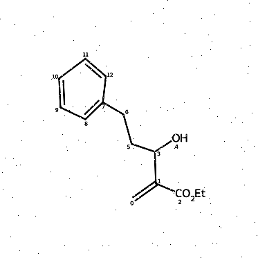 C=C(C(=O)OCC)C(O)CCc1ccccc1